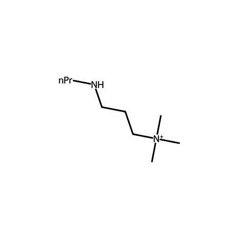 CCCNCCC[N+](C)(C)C